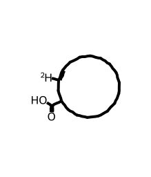 [2H]C1=CCCCCCCCCCCCCCCC(C(=O)O)C1